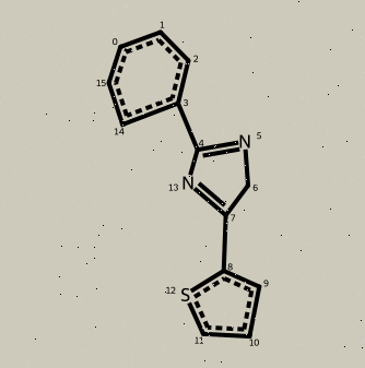 c1ccc(C2=NCC(c3cccs3)=N2)cc1